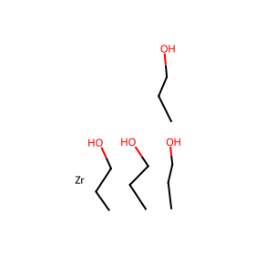 CCCO.CCCO.CCCO.CCCO.[Zr]